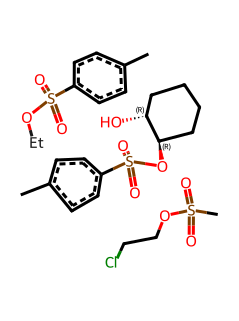 CCOS(=O)(=O)c1ccc(C)cc1.CS(=O)(=O)OCCCl.Cc1ccc(S(=O)(=O)O[C@@H]2CCCC[C@H]2O)cc1